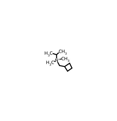 CC(C)[N+](C)(C)CC1CCC1